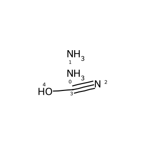 N.N.N#CO